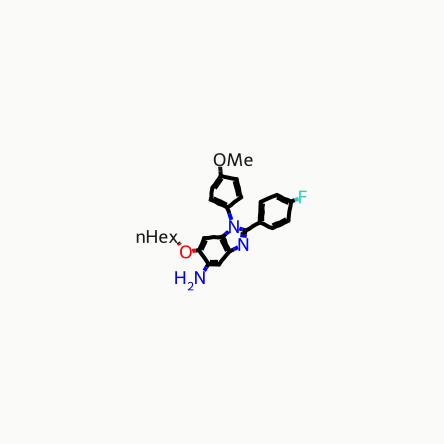 CCCCCCOc1cc2c(cc1N)nc(-c1ccc(F)cc1)n2-c1ccc(OC)cc1